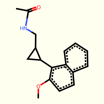 COc1ccc2ccccc2c1C1CC1CNC(C)=O